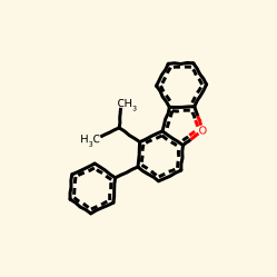 CC(C)c1c(-c2ccccc2)ccc2oc3ccccc3c12